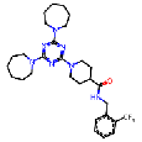 O=C(NCc1ccccc1C(F)(F)F)C1CCN(c2nc(N3CCCCCC3)nc(N3CCCCCC3)n2)CC1